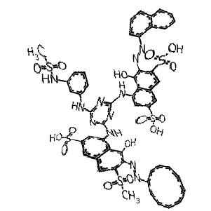 CS(=O)(=O)Nc1cccc(Nc2nc(Nc3cc(S(=O)(=O)O)cc4cc(S(C)(=O)=O)c(/N=N/c5ccccccccc5)c(O)c34)nc(Nc3cc(S(=O)(=O)O)cc4cc(S(=O)(=O)O)c(/N=N/c5cccc6ccccc56)c(O)c34)n2)c1